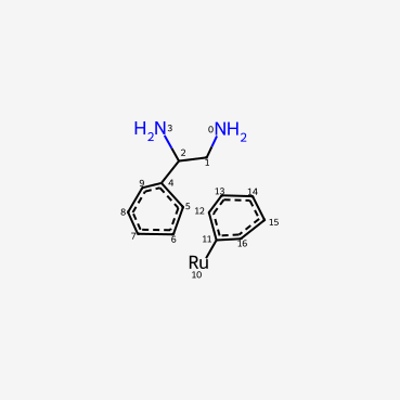 NCC(N)c1ccccc1.[Ru][c]1ccccc1